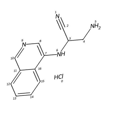 Cl.N#CC(CN)Nc1cncc2ccccc12